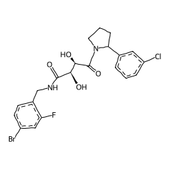 O=C(NCc1ccc(Br)cc1F)[C@H](O)[C@@H](O)C(=O)N1CCCC1c1cccc(Cl)c1